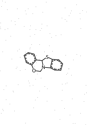 c1ccc2c(c1)OCN1c3ccccc3SC21